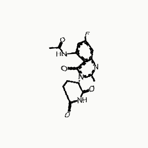 CC(=O)Nc1cc(F)cc2nc(C)n([C@H]3CCC(=O)NC3=O)c(=O)c12